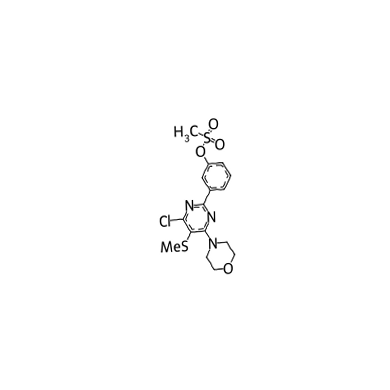 CSc1c(Cl)nc(-c2cccc(OS(C)(=O)=O)c2)nc1N1CCOCC1